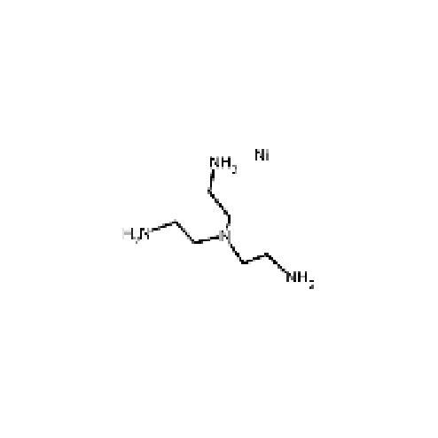 NCCN(CCN)CCN.[Ni]